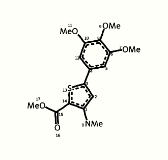 CNc1cc(-c2cc(OC)c(OC)c(OC)c2)sc1C(=O)OC